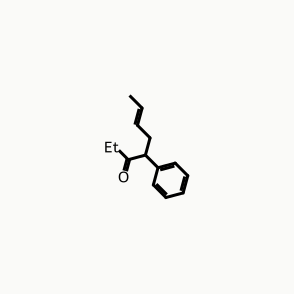 CC=CCC(C(=O)CC)c1ccccc1